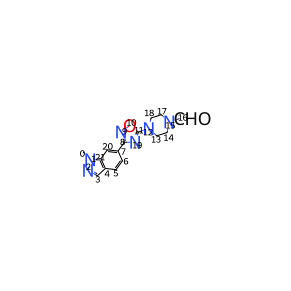 Cn1ncc2ccc(-c3noc(N4CCN(C=O)CC4)n3)cc21